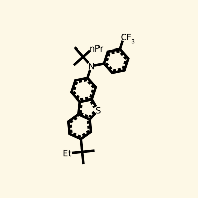 CCCC(C)(C)N(c1cccc(C(F)(F)F)c1)c1ccc2c(c1)sc1cc(C(C)(C)CC)ccc12